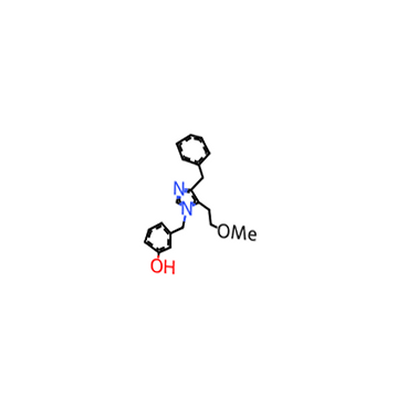 COCCc1c(Cc2ccccc2)ncn1Cc1cccc(O)c1